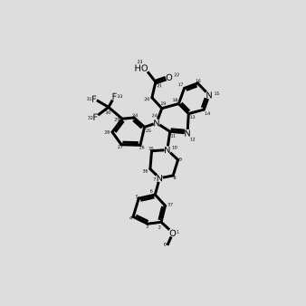 COc1cccc(N2CCN(C3=Nc4cnccc4C(CC(=O)O)N3c3cccc(C(F)(F)F)c3)CC2)c1